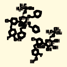 CCOc1ccc(Cc2cc([C@]3(OC)O[C@H](CO[Si](C)(C)C(C)(C)C)[C@@H](O)[C@H](O)[C@H]3O)ccc2Cl)cc1F.CCOc1ccc(Cc2cc([C@]3(OC)O[C@H](CO[Si](C)(C)C(C)(C)C)[C@@H](OCc4ccccc4)[C@H](OCc4ccccc4)[C@H]3OCc3ccccc3)ccc2Cl)cc1F